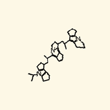 CC(CC1CCn2c(C(C)CC3CCc4c3c3c(n4C(C)C)CCC3)c3c(c21)CCC3)c1c2c(n3c1CCC3)CCC2